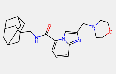 O=C(NCC12CC3CC(CC(C3)C1)C2)c1cccc2nc(CN3CCOCC3)cn12